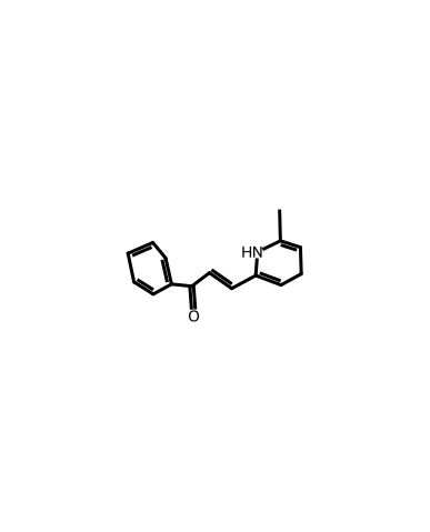 CC1=CCC=C(C=CC(=O)c2ccccc2)N1